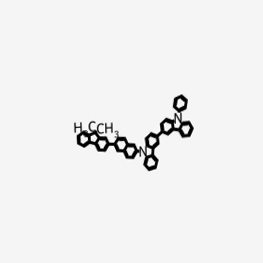 CC1(C)c2ccccc2-c2ccc(-c3ccc4cc(-n5c6ccccc6c6cc(-c7ccc8c(c7)c7ccccc7n8-c7ccccc7)ccc65)ccc4c3)cc21